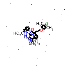 Cc1cc(OCCCc2c3n(c4c(-c5c(C)nn(C)c5C)c(Cl)ccc24)[C@H](C)CN(c2cccc4cc(C(=O)O)[nH]c24)C3=O)cc(C)c1Cl